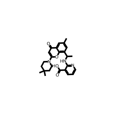 Cc1cc(C(C)Nc2ncccc2C(=O)O)c2oc(N3CCC(C)(C)CC3)cc(=O)c2c1